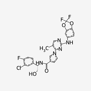 Cc1cnc(Nc2ccc3c(c2)OC(F)(F)O3)nc1-n1ccc(C(=O)N[C@H](CO)c2ccc(F)c(Cl)c2)c1